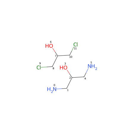 NCC(O)CN.OC(CCl)CCl